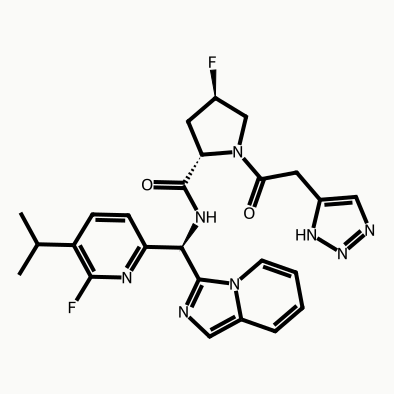 CC(C)c1ccc([C@@H](NC(=O)[C@@H]2C[C@@H](F)CN2C(=O)Cc2cnn[nH]2)c2ncc3ccccn23)nc1F